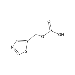 O=C(O)OCc1cncs1